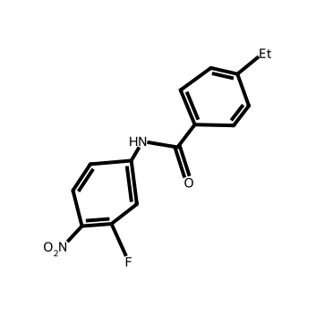 CCc1ccc(C(=O)Nc2ccc([N+](=O)[O-])c(F)c2)cc1